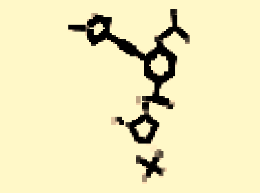 Cn1cc(C#Cc2cc(C(=O)N[C@H]3C[C@H](OC(F)(F)F)C[C@@H]3O)ccc2OC(F)F)cn1